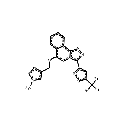 [2H]C([2H])([2H])c1cc(-c2nnc3c4ccccc4c(OCc4cn(C)nn4)nn23)no1